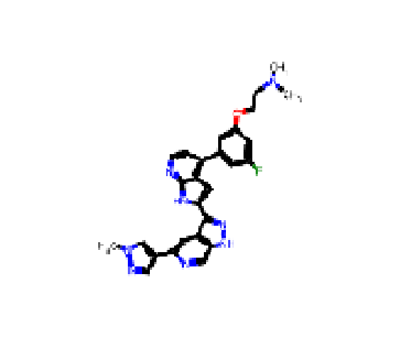 CN(C)CCOc1cc(F)cc(-c2ccnc3[nH]c(-c4n[nH]c5cnc(-c6cnn(C)c6)cc45)cc23)c1